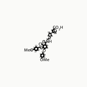 COc1ccc(COc2ccc(C(=O)NCCN3CC[C@@H](c4cc(C(=O)O)on4)C3)c(Cl)c2OCc2ccc(OC)cc2)cc1